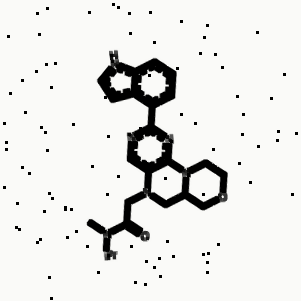 CC(C)N(C)C(=O)CN1CC2COCCN2c2nc(-c3cccc4[nH]ccc34)ncc21